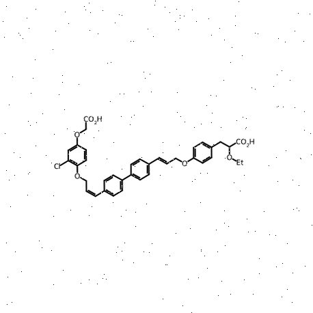 CCOC(Cc1ccc(OC/C=C/c2ccc(-c3ccc(/C=C\COc4ccc(OCC(=O)O)cc4Cl)cc3)cc2)cc1)C(=O)O